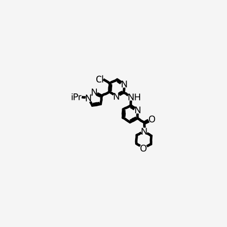 CC(C)n1ccc(-c2nc(Nc3cccc(C(=O)N4CCOCC4)n3)ncc2Cl)n1